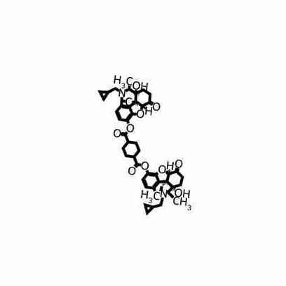 Cc1ccc(OC(=O)C2CCC(C(=O)Oc3ccc4c5c3O[C@H]3C(=O)CC[C@@]6(O)C(C)N(CC7CC7)C4C[C@]536)CC2)c2c1[C@]13CCN(CC4CC4)C(C)[C@]1(O)CCC(=O)[C@@H]3O2